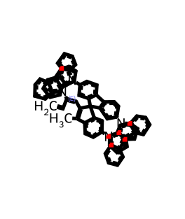 C=C/C(=C\C1=C(C)c2ccc(-n3c4ccccc4c4ccccc43)cc2C12c1cc(-n3c4ccccc4c4ccccc43)ccc1-c1ccc(-n3c4ccccc4c4ccccc43)cc12)n1c2ccccc2c2ccccc21